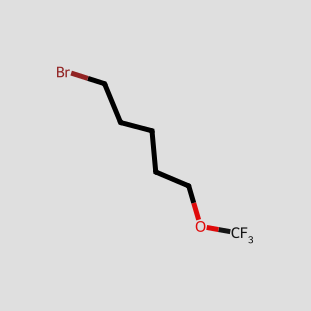 FC(F)(F)OCCCCCBr